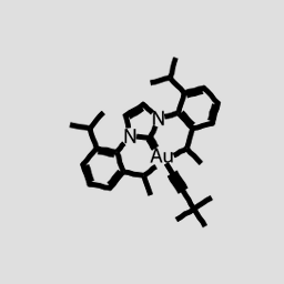 CC(C)c1cccc(C(C)C)c1-n1ccn(-c2c(C(C)C)cccc2C(C)C)[c]1=[Au][C]#CC(C)(C)C